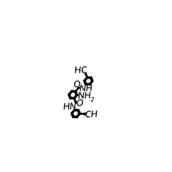 C#Cc1cccc(NC(=O)c2cccc(C(=O)Nc3cccc(C#C)c3)c2N)c1